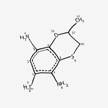 Cc1cc(N)c2c(c1N)SCC(C)O2